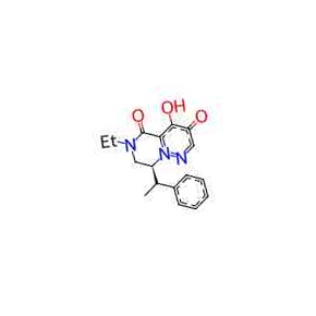 CCN1C[C@H](C(C)c2ccccc2)n2ncc(=O)c(O)c2C1=O